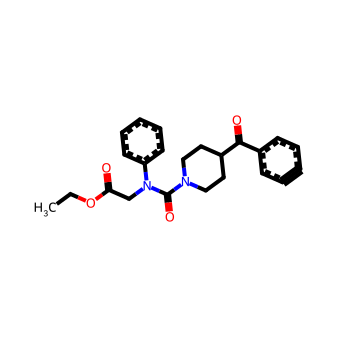 CCOC(=O)CN(C(=O)N1CCC(C(=O)c2cc#ccc2)CC1)c1ccccc1